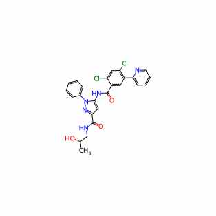 CC(O)CNC(=O)c1cc(NC(=O)c2cc(-c3ccccn3)c(Cl)cc2Cl)n(-c2ccccc2)n1